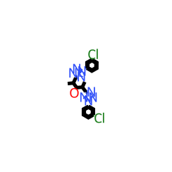 CC(C(=O)C(C)c1nnn(-c2cccc(Cl)c2)n1)c1nnn(-c2cccc(Cl)c2)n1